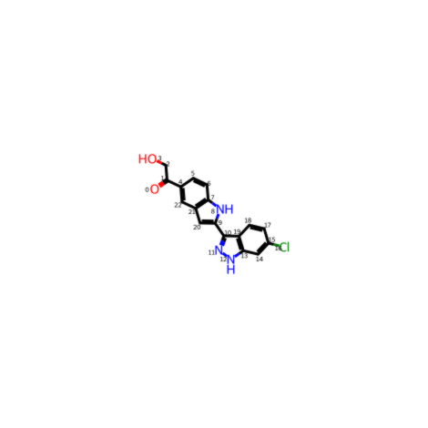 O=C(CO)c1ccc2[nH]c(-c3n[nH]c4cc(Cl)ccc34)cc2c1